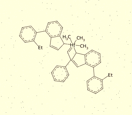 CCc1ccccc1-c1cccc2c1C=C[CH]2[Hf]([CH3])([CH3])([CH3])(=[CH]Cc1ccccc1)[CH]1C=Cc2c(-c3ccccc3CC)cccc21